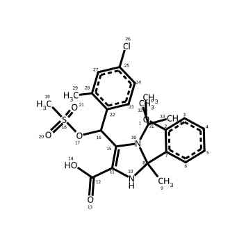 COc1ccccc1C1(C)NC(C(=O)O)=C(C(OS(C)(=O)=O)c2ccc(Cl)cc2C)N1C(C)C